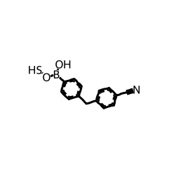 N#Cc1ccc(Cc2ccc(B(O)OS)cc2)cc1